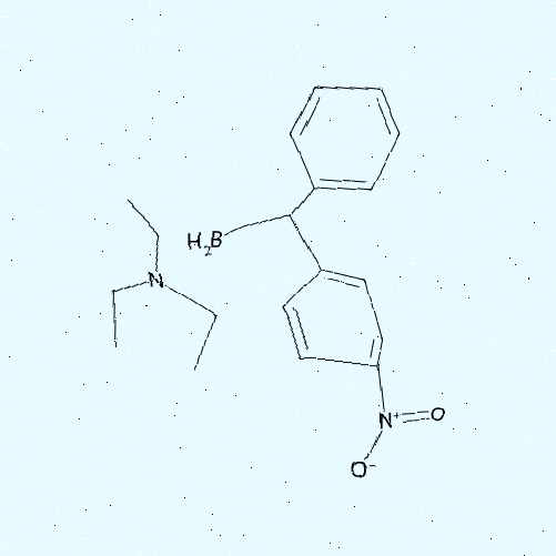 BC(c1ccccc1)c1ccc([N+](=O)[O-])cc1.CCN(CC)CC